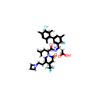 Cc1cc(-c2c(C)cc(C)c(F)c2C)cc([C@H](CC(=O)O)NC(=O)C(CC(C)C)n2cc(CCN3CCC3)c(C(F)(F)F)cc2=O)c1F